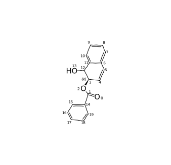 O=C(O[C@@H]1C=Cc2ccccc2C1O)c1ccccc1